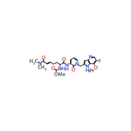 COC(=O)NC(CCC=CC(=O)N(C)C)C(=O)Nc1cccn(Cc2cc3ncc(F)c(OC(C)C)c3[nH]2)c1=O